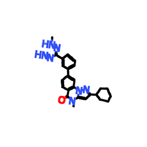 CN/N=C(\N=N)c1cccc(-c2ccc3c(=O)n(C)c4cc(C5CCCCC5)nn4c3c2)c1